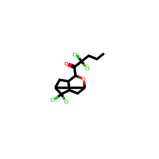 [CH2]CCC(Cl)(Cl)C(=O)[C]1OC2CC3C1CC2C3(Cl)Cl